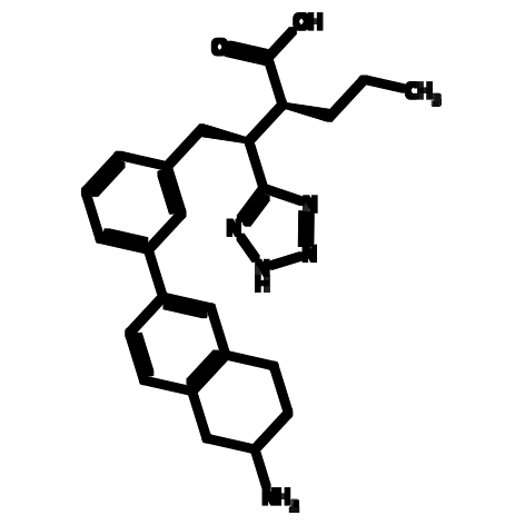 CCC[C@H](C(=O)O)[C@H](Cc1cccc(-c2ccc3c(c2)CCC(N)C3)c1)c1nn[nH]n1